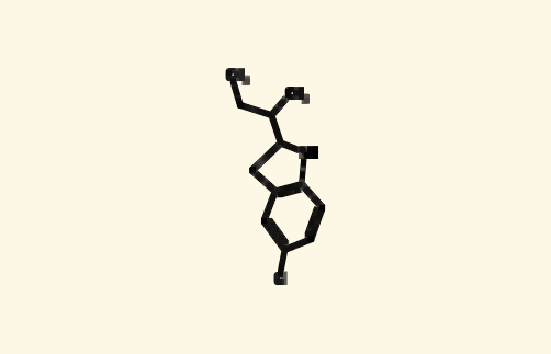 CCC(C)C1Cc2cc(Cl)ccc2N1